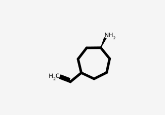 C=CC1CCC[C@H](N)CC1